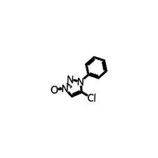 [O-][n+]1cc(Cl)n(-c2ccccc2)n1